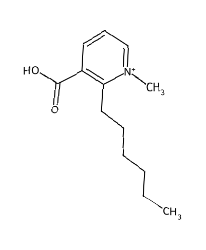 CCCCCCc1c(C(=O)O)ccc[n+]1C